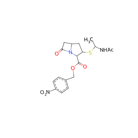 CC(=O)NC(C)SC1CC2CC(=O)N2C1C(=O)OCc1ccc([N+](=O)[O-])cc1